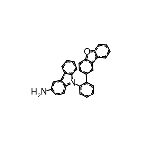 Nc1ccc2c(c1)c1ccccc1n2-c1ccccc1-c1ccc2oc3ccccc3c2c1